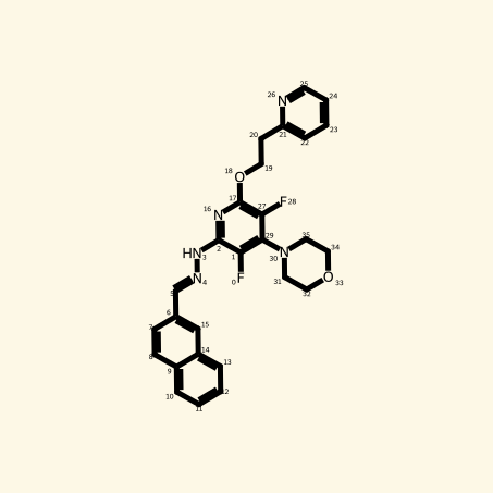 Fc1c(NN=Cc2ccc3ccccc3c2)nc(OCCc2ccccn2)c(F)c1N1CCOCC1